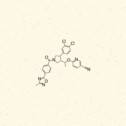 Cc1noc(-c2ccc(C(=O)N3CC(c4ccc(Cl)c(Cl)c4)C(C(C)Oc4ccc(C#N)cn4)C3)cc2)n1